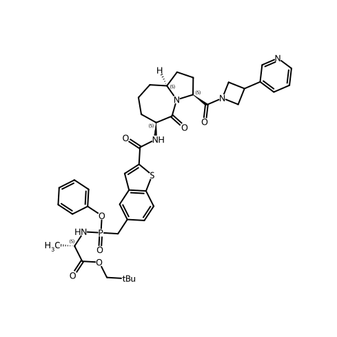 C[C@H](NP(=O)(Cc1ccc2sc(C(=O)N[C@H]3CCC[C@H]4CC[C@@H](C(=O)N5CC(c6cccnc6)C5)N4C3=O)cc2c1)Oc1ccccc1)C(=O)OCC(C)(C)C